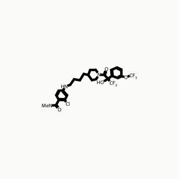 CNC(=O)c1ccc(NCCCCC2CCN(C(=O)C(O)(c3cccc(OC(F)(F)F)c3)C(F)(F)F)CC2)cc1Cl